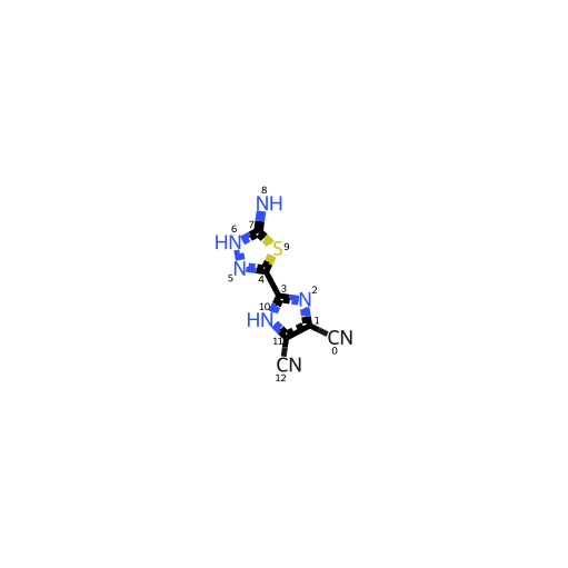 N#Cc1nc(-c2n[nH]c(=N)s2)[nH]c1C#N